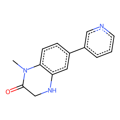 CN1C(=O)CNc2cc(-c3cccnc3)ccc21